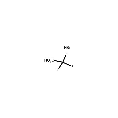 Br.O=C(O)C(F)(F)F